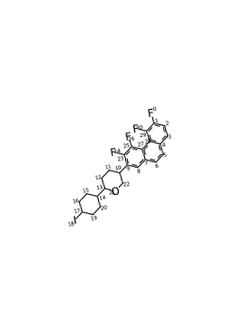 Fc1ccc2ccc3cc(C4CCC(C5CCC(I)CC5)OC4)c(F)c(F)c3c2c1F